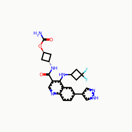 NC(=O)O[C@H]1C[C@H](NC(=O)c2cnc3ccc(-c4cn[nH]c4)cc3c2NC2CC(F)(F)C2)C1